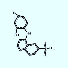 CS(=O)(=O)c1ccc2nccc(Nc3ccc(F)cc3O)c2c1